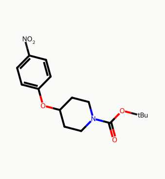 CC(C)(C)OC(=O)N1CCC(Oc2ccc([N+](=O)[O-])cc2)CC1